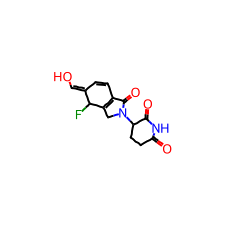 O=C1CCC(N2CC3=C(C=CC(=CO)C3F)C2=O)C(=O)N1